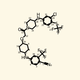 N#Cc1ccc(NC2CCC(OCC(=O)N3CCC(Nc4ccc(SC(F)(F)F)c(Cl)c4)CC3)CC2)cc1C(F)(F)F